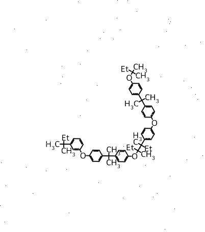 CCC(C)(C)Oc1ccc(C(C)(C)c2ccc(Oc3ccc(C(C)(CC)C(C)(CC)Oc4ccc(C(C)(C)c5ccc(Oc6cccc(C(C)(C)CC)c6)cc5)cc4)cc3)cc2)cc1